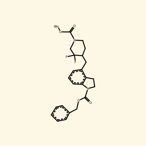 CC(C)(C)OC(=O)N1CCC(Cc2cccc3c2CCN3C(=O)OCc2ccccc2)C(F)(F)C1